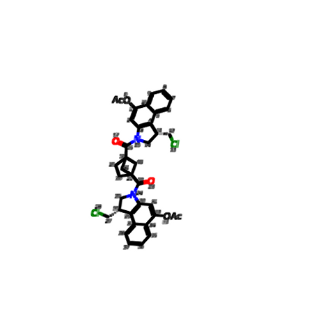 CC(=O)Oc1cc2c(c3ccccc13)[C@H](CCl)CN2C(=O)C12CCC(C(=O)N3C[C@@H](CCl)c4c3cc(OC(C)=O)c3ccccc43)(C1)C2